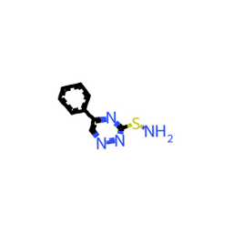 NSc1nncc(-c2ccccc2)n1